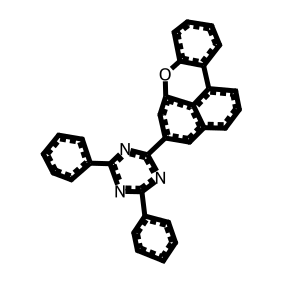 c1ccc(-c2nc(-c3ccccc3)nc(-c3cc4c5c(cccc5c3)-c3ccccc3O4)n2)cc1